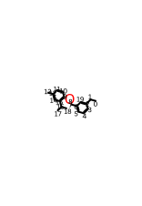 CCc1cccc(COc2ccc(C)cc2C(C)C)c1